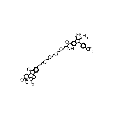 C=[N+]1C(=O)CCC(C2C(=O)c3ccc(CCCOCCOCCOCCOCCC(=N)C(=O)c4ccc5c(c4)C(=C/CC)/C(=C\C)C5c4ccc(C(F)(F)F)cc4)cc3C2=O)C1=O